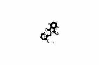 CC1CCCNC1CN1C(=O)c2ccccc2C1=O